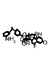 CC(c1ccc(C2O[C@@H]3CC4C5C[C@H](F)C6=CC(=O)C=CC6(C)[C@@]5(F)C(O)CC4(C)[C@]3(C(=O)CO)O2)cc1)c1cccc(N)c1